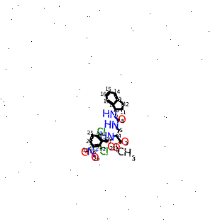 COC(=O)[C@H](CNC(=O)N[C@@H]1CCc2ccccc21)NC(=O)c1c(Cl)ccc([N+](=O)[O-])c1Cl